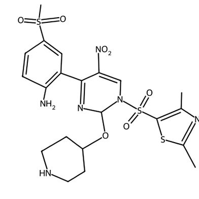 Cc1nc(C)c(S(=O)(=O)N2C=C([N+](=O)[O-])C(c3cc(S(C)(=O)=O)ccc3N)=NC2OC2CCNCC2)s1